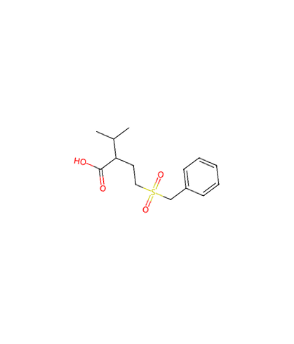 CC(C)C(CCS(=O)(=O)Cc1ccccc1)C(=O)O